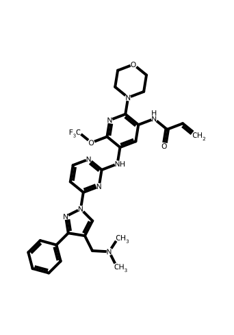 C=CC(=O)Nc1cc(Nc2nccc(-n3cc(CN(C)C)c(-c4ccccc4)n3)n2)c(OC(F)(F)F)nc1N1CCOCC1